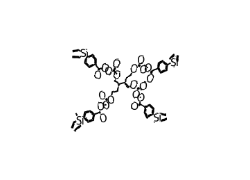 C=C[Si](C)(C=C)c1ccc(C(=O)OOC(=O)OCCC(COC(=O)OOC(=O)c2ccc([Si](C)(C=C)C=C)cc2)C(CCOC(=O)OOC(=O)c2ccc([Si](C)(C=C)C=C)cc2)COC(=O)OOC(=O)c2ccc([Si](C)(C=C)C=C)cc2)cc1